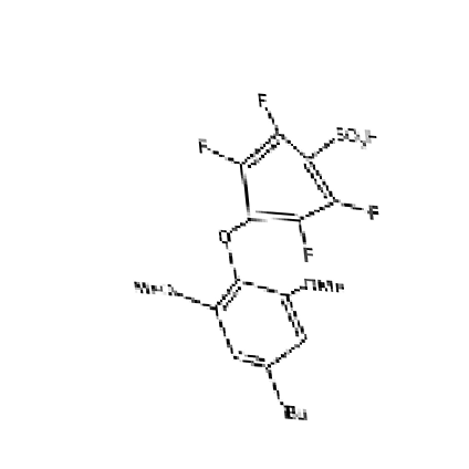 CCC(C)c1cc(OC)c(Oc2c(F)c(F)c(S(=O)(=O)O)c(F)c2F)c(OC)c1